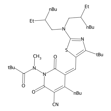 CCCCC1=C(C#N)C(=O)N(N(C)C(=O)C(C)(C)C)C(=O)/C1=C\c1sc(N(CC(CC)CCCC)CC(CC)CCCC)nc1C(C)(C)C